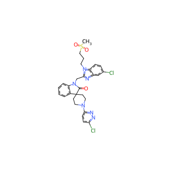 CS(=O)(=O)CCCn1c(CN2C(=O)C3(CCN(c4ccc(Cl)nn4)CC3)c3ccccc32)nc2cc(Cl)ccc21